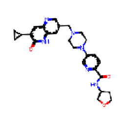 O=C(NC1CCOC1)c1ccc(N2CCN(Cc3cnc4cc(C5CC5)c(=O)[nH]c4c3)CC2)cn1